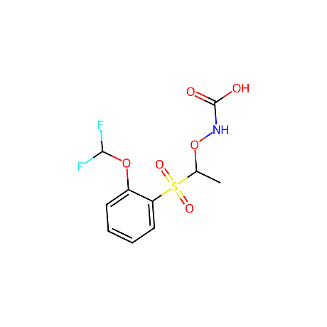 CC(ONC(=O)O)S(=O)(=O)c1ccccc1OC(F)F